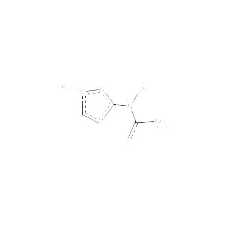 Cn1ccc(N(S)C(N)=O)n1